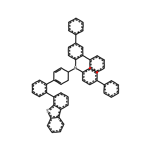 C1=CC(N(c2ccc(-c3ccccc3)cc2)c2ccc(-c3ccccc3)cc2-c2ccccc2)CC=C1c1ccccc1-c1cccc2c1sc1ccccc12